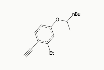 C#Cc1ccc(OC(C)CCCC)cc1CC